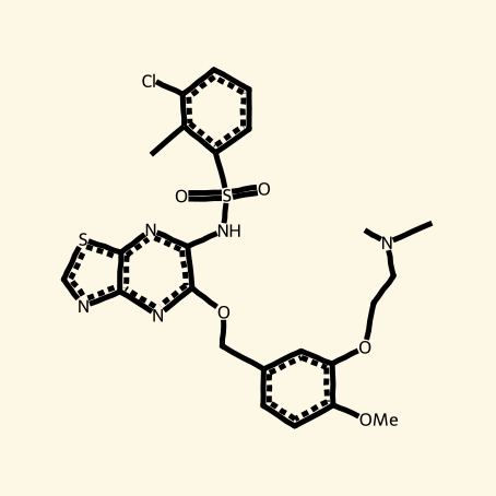 COc1ccc(COc2nc3ncsc3nc2NS(=O)(=O)c2cccc(Cl)c2C)cc1OCCN(C)C